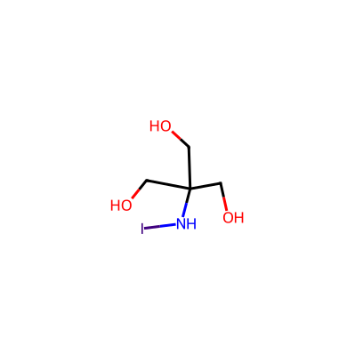 OCC(CO)(CO)NI